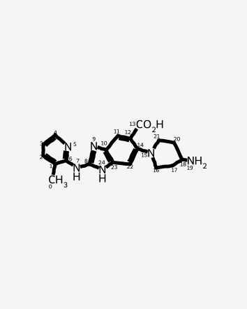 Cc1cccnc1Nc1nc2cc(C(=O)O)c(N3CCC(N)CC3)cc2[nH]1